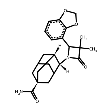 CC1(C)C(=O)N([C@@H]2C3CC4C[C@H]2C[C@@](C(N)=O)(C4)C3)C1c1cccc2c1OCO2